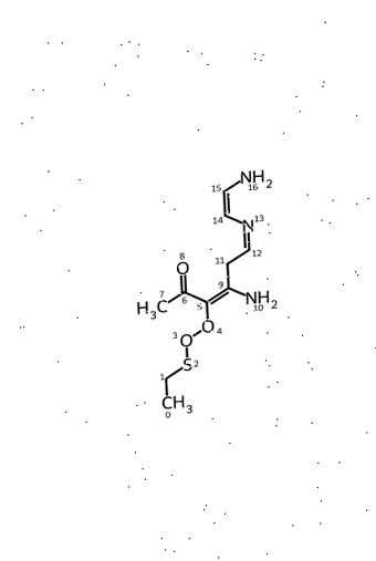 CCSOO/C(C(C)=O)=C(\N)C/C=N\C=C/N